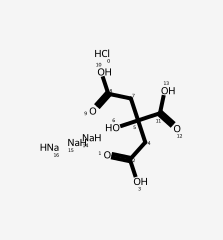 Cl.O=C(O)CC(O)(CC(=O)O)C(=O)O.[NaH].[NaH].[NaH]